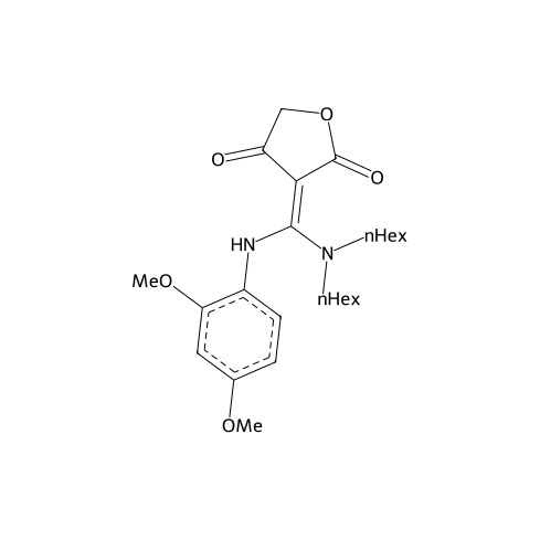 CCCCCCN(CCCCCC)C(Nc1ccc(OC)cc1OC)=C1C(=O)COC1=O